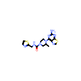 CC1CN(C(=O)NCc2nccs2)CCN1c1nc(N)nc2scnc12